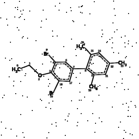 CCOc1c(Br)cc(-c2c(C)cc(C)cc2C)cc1Br